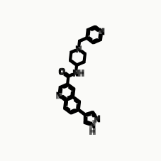 O=C(NC1CCN(Cc2ccncc2)CC1)c1cnc2ccc(-c3cn[nH]c3)cc2c1